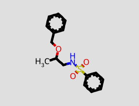 CC(CNS(=O)(=O)c1ccccc1)OCc1ccccc1